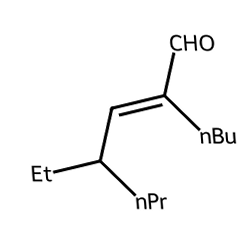 CCCC/C(C=O)=C\C(CC)CCC